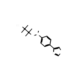 CC(C)(O)C(C)(C)OB(O)c1ccc(-c2cocn2)cc1